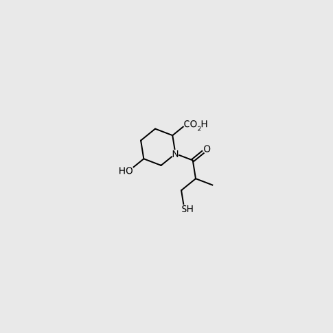 CC(CS)C(=O)N1CC(O)CCC1C(=O)O